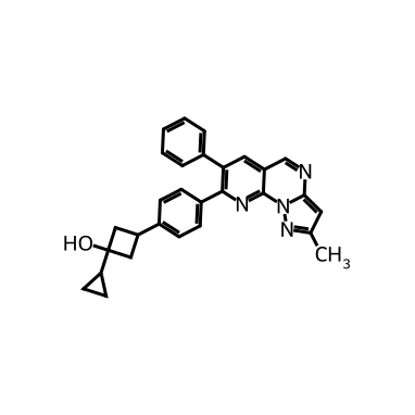 Cc1cc2ncc3cc(-c4ccccc4)c(-c4ccc(C5CC(O)(C6CC6)C5)cc4)nc3n2n1